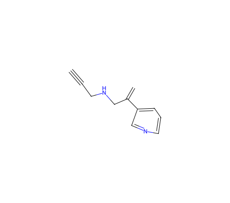 C#CCNCC(=C)c1cccnc1